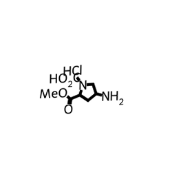 COC(=O)C1CC(N)CN1C(=O)O.Cl